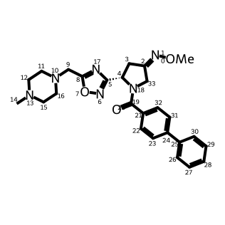 CON=C1C[C@@H](c2noc(CN3CCN(C)CC3)n2)N(C(=O)c2ccc(-c3ccccc3)cc2)C1